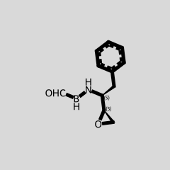 O=CBN[C@@H](Cc1ccccc1)[C@H]1CO1